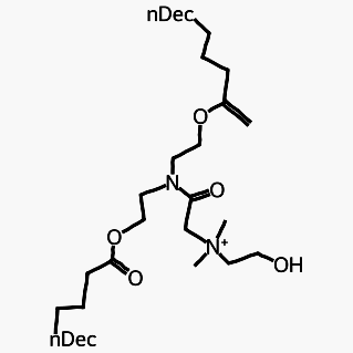 C=C(CCCCCCCCCCCCC)OCCN(CCOC(=O)CCCCCCCCCCCCC)C(=O)C[N+](C)(C)CCO